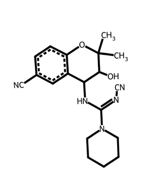 CC1(C)Oc2ccc(C#N)cc2C(N/C(=N\C#N)N2CCCCC2)C1O